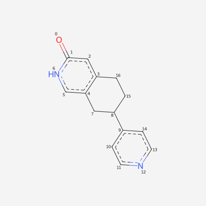 O=c1cc2c(c[nH]1)CC(c1ccncc1)CC2